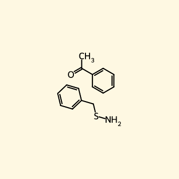 CC(=O)c1ccccc1.NSCc1ccccc1